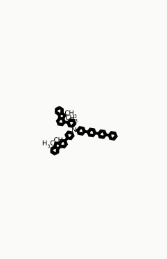 CC1(C)c2ccccc2-c2ccc(-c3ccc(N(c4ccc(-c5ccc(-c6ccc(-c7ccccc7)cc6)cc5)cc4)c4cccc(-c5cccc6c5C(C)(C)c5ccccc5-6)c4)cc3)cc21